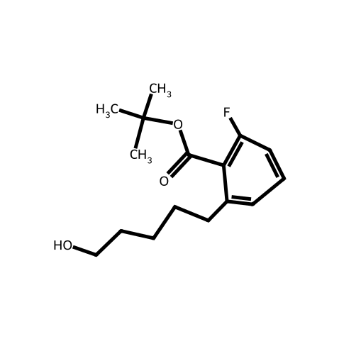 CC(C)(C)OC(=O)c1c(F)cccc1CCCCCO